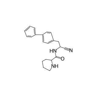 N#CC(Cc1ccc(-c2ccccc2)cc1)NC(=O)C1CCCCN1